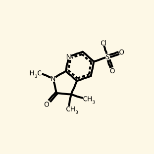 CN1C(=O)C(C)(C)c2cc(S(=O)(=O)Cl)cnc21